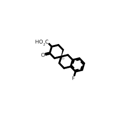 O=C(O)C1CC[C@@]2(CCc3c(F)cccc3C2)CC1=O